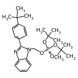 CC(C)(C)OP(=O)(OCn1c(-c2ccc(C(C)(C)C)cc2)nc2ccccc21)OC(C)(C)C